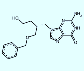 Nc1nc2c(ncn2C[C@@H](CCO)COCc2ccccc2)c(=O)[nH]1